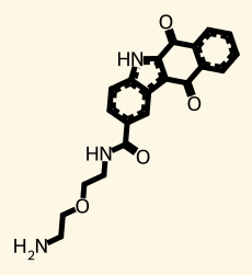 NCCOCCNC(=O)c1ccc2[nH]c3c(c2c1)C(=O)c1ccccc1C3=O